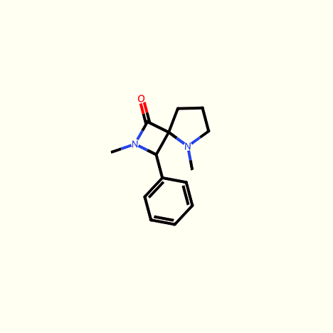 CN1C(=O)C2(CCCN2C)C1c1ccccc1